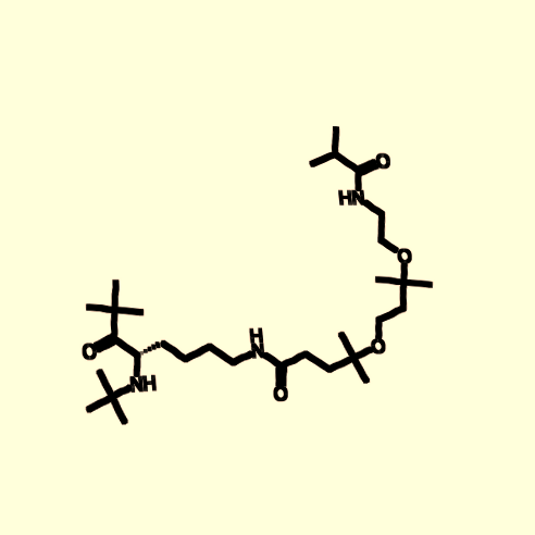 CC(C)C(=O)NCCOC(C)(C)CCOC(C)(C)CCC(=O)NCCCC[C@H](NC(C)(C)C)C(=O)C(C)(C)C